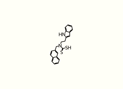 S=C(S)N(CCc1cc2ccccc2[nH]1)Cc1ccc2ccccc2c1